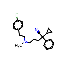 CN(CCCC(C#N)(c1ccccc1)C1CC1)CCc1ccc(F)cc1